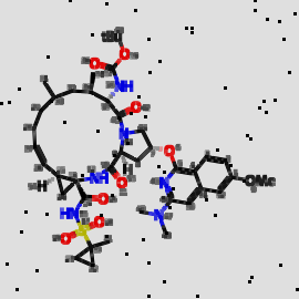 COc1ccc2c(O[C@@H]3C[C@H]4C(=O)N[C@]5(C(=O)NS(=O)(=O)C6(C)CC6)C[C@H]5/C=C\CCC(C)C[C@@H](C)[C@H](NC(=O)OC(C)(C)C)C(=O)N4C3)nc(N(C)C)cc2c1